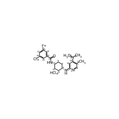 Cc1cnc(N[C@H]2CC[C@@H](NC(=O)c3cc(F)cc(Cl)c3)CC2)cc1N(C)C.Cl